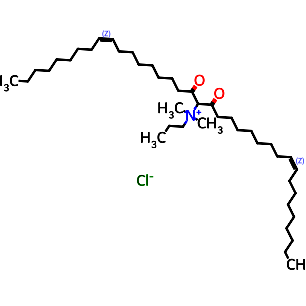 CCCCCCCC/C=C\CCCCCCCC(=O)C(C(=O)CCCCCCC/C=C\CCCCCCCC)[N+](C)(C)CCC.[Cl-]